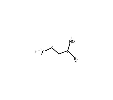 CCC(CCC(=O)O)N=O